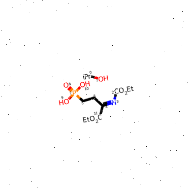 CC(C)O.CCOC(=O)N=C(CCP(=O)(O)O)C(=O)OCC